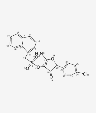 NC1=C(OS(=O)(=O)Cc2cccc3ccccc23)C(=O)C(c2ccc(Cl)cc2)O1